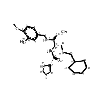 COc1ccc(CNC(=O)[C@H](CSCC2CCCCC2)NC(=O)[C@@H]2CSCN2)cc1O.Cl